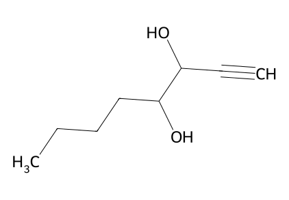 C#CC(O)C(O)CCCC